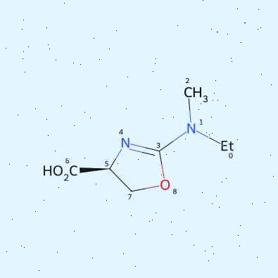 CCN(C)C1=N[C@H](C(=O)O)CO1